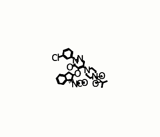 CC(C)S(=O)(=O)N1CCN(c2cnn(-c3cccc(Cl)c3)c(=O)c2OC2Cc3ccccc3[C@H]2N=C=O)CC1